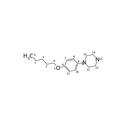 CCCCCOc1ccc(N2CC[N]CC2)cc1